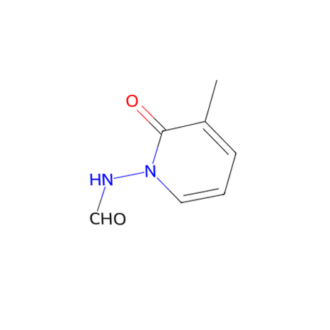 Cc1cccn(NC=O)c1=O